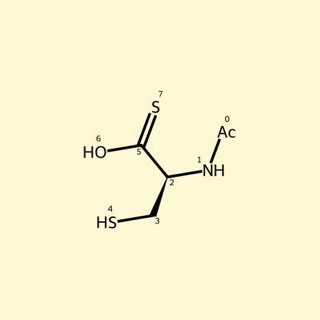 CC(=O)N[C@@H](CS)C(O)=S